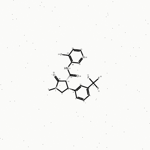 CN1C[C@H](c2cccc(C(F)(F)F)c2)[C@@H](C(=O)Nc2cnccc2F)C1=O